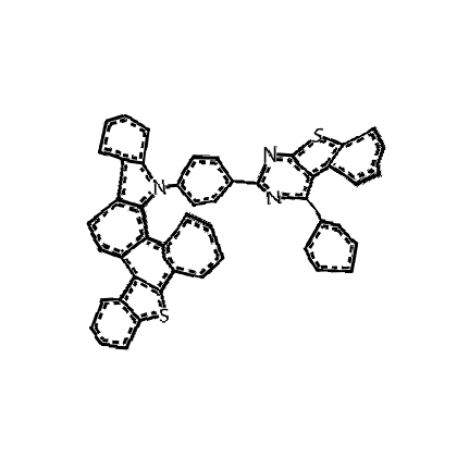 c1ccc(-c2nc(-c3ccc(-n4c5ccccc5c5ccc6c7c8ccccc8sc7c7ccccc7c6c54)cc3)nc3sc4ccccc4c23)cc1